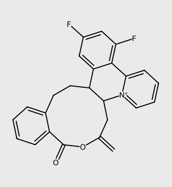 C=C1CC2C(CCc3ccccc3C(=O)O1)c1cc(F)cc(F)c1-c1cccc[n+]12